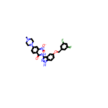 CN1CCN(c2ccc(C(=O)Nc3n[nH]c4ccc(OCc5cc(F)cc(F)c5)cc34)c([N+](=O)[O-])c2)CC1